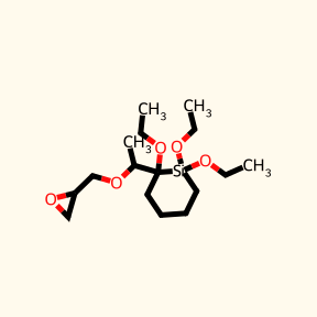 CCOC1(C(C)OCC2CO2)CCCC[Si]1(OCC)OCC